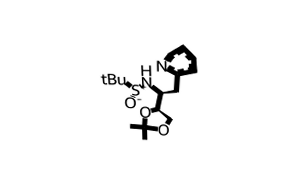 CC1(C)OC[C@H]([C@H](Cc2ccccn2)N[S+]([O-])C(C)(C)C)O1